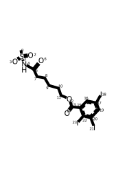 CS(=O)(=O)NC(=O)CCCCCOC(=O)c1cc(I)cc(I)c1I